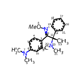 CO/N=C(\c1ccc(N(C)C)cc1)C(C)(c1ccccc1)N(C)C